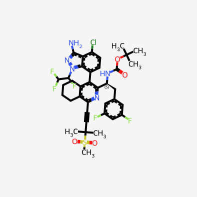 CC(C)(C)OC(=O)N[C@@H](Cc1cc(F)cc(F)c1)c1nc(C#CC(C)(C)S(C)(=O)=O)c2c(c1-c1ccc(Cl)c3c(N)nn(C(F)C(F)F)c13)CCCC2